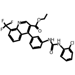 CCOC(=O)c1cnc2c(C(F)(F)F)cccc2c1-c1cccc(NC(=O)Nc2ccccc2Cl)c1